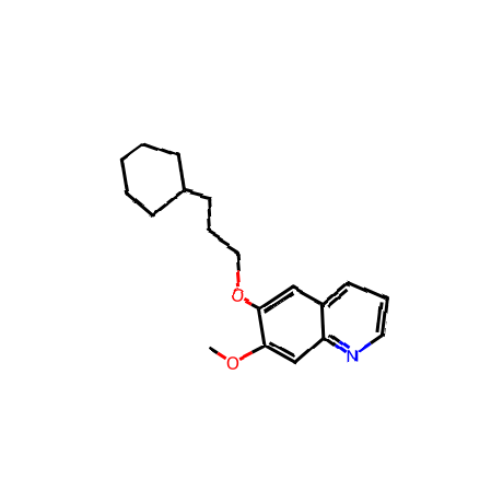 COc1cc2ncccc2cc1OCCCC1CCCCC1